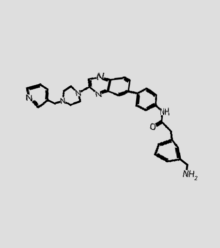 NCc1cccc(CC(=O)Nc2ccc(-c3ccc4ncc(N5CCN(Cc6cccnc6)CC5)nc4c3)cc2)c1